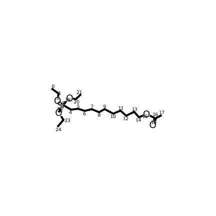 CCO[Si](CCCCCCCCCCCOC(C)=O)(OCC)OCC